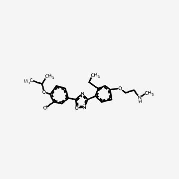 CCc1cc(OCCNC)ccc1-c1noc(-c2ccc(OC(C)C)c(Cl)c2)n1